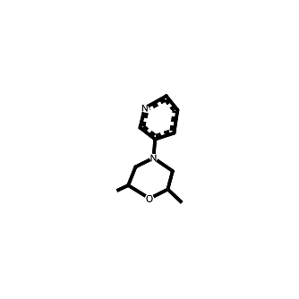 CC1CN(c2cccnc2)CC(C)O1